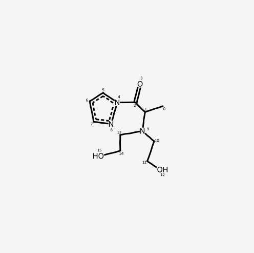 CC(C(=O)n1cccn1)N(CCO)CCO